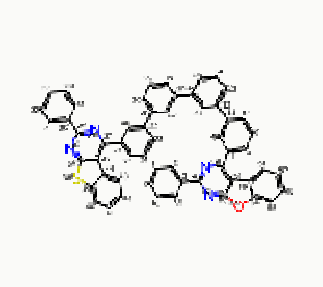 c1ccc(-c2nc(-c3cccc(-c4cccc(-c5cccc(-c6cccc(-c7nc(-c8ccccc8)nc8sc9ccccc9c78)c6)c5)c4)c3)c3c(n2)oc2ccccc23)cc1